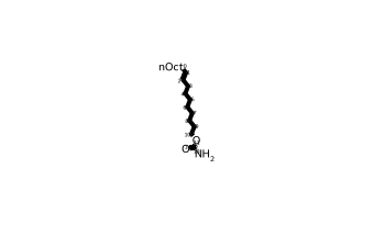 CCCCCCCCC=CCCCCCCCCOC(N)=O